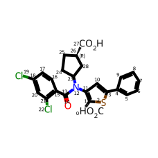 O=C(O)c1sc(-c2ccccc2)cc1N(C(=O)c1ccc(Cl)cc1Cl)C1CC[C@@H](C(=O)O)C1